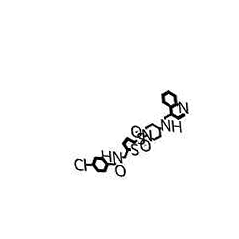 O=C(NCc1ccc(S(=O)(=O)N2CCC(NCc3ccnc4ccccc34)CC2)s1)c1ccc(Cl)cc1